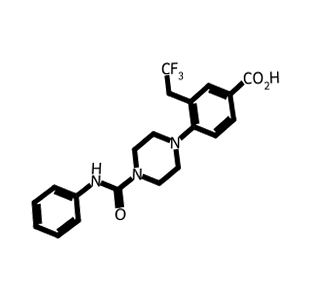 O=C(O)c1ccc(N2CCN(C(=O)Nc3ccccc3)CC2)c(CC(F)(F)F)c1